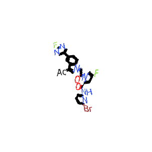 CC(=O)c1cn(CC(=O)N2C[C@H](F)C[C@H]2C(=O)Nc2cccc(Br)n2)c2ccc(-c3cnc(F)nc3)cc12